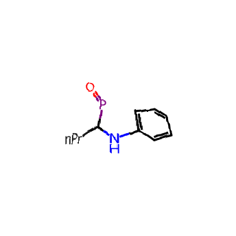 CCCC(Nc1ccccc1)P=O